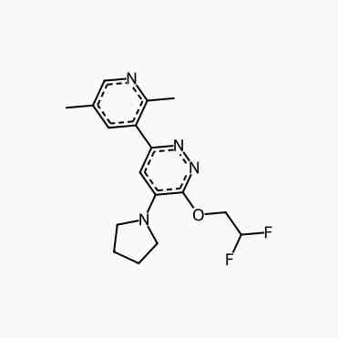 Cc1cnc(C)c(-c2cc(N3CCCC3)c(OCC(F)F)nn2)c1